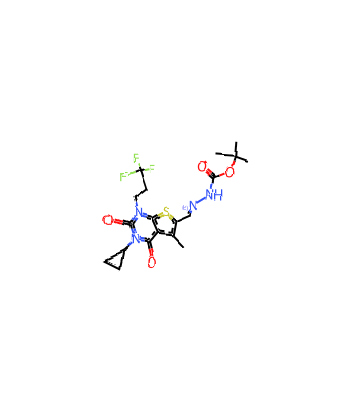 Cc1c(/C=N/NC(=O)OC(C)(C)C)sc2c1c(=O)n(C1CC1)c(=O)n2CCC(F)(F)F